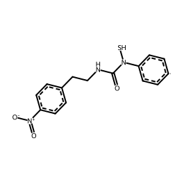 O=C(NCCc1ccc([N+](=O)[O-])cc1)N(S)c1cc[c]cc1